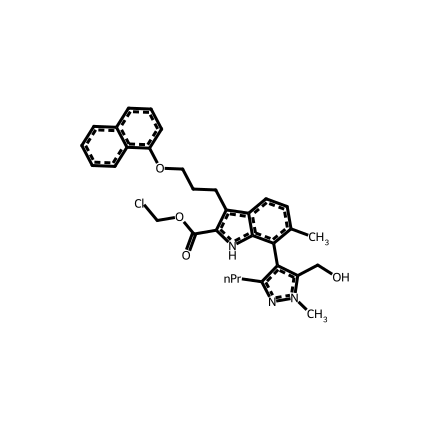 CCCc1nn(C)c(CO)c1-c1c(C)ccc2c(CCCOc3cccc4ccccc34)c(C(=O)OCCl)[nH]c12